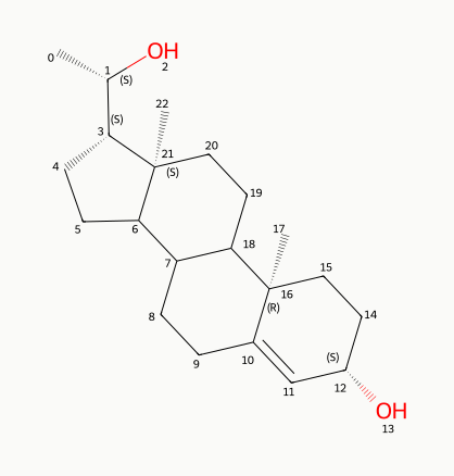 C[C@H](O)[C@H]1CCC2C3CCC4=C[C@@H](O)CC[C@]4(C)C3CC[C@@]21C